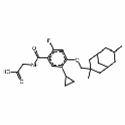 CC1CC2CC(C1)CC(C)(COc1cc(F)c(C(=O)NCC(=O)O)cc1C1CC1)C2